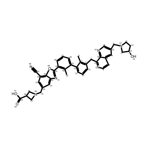 Cc1c(Cc2nccc3cc(CN4CC[C@@H](O)C4)cnc23)cccc1-c1cccc(-c2nc3cc(CN4CC(C(=O)O)C4)cc(C#N)c3o2)c1C